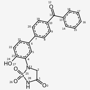 O=C1CN(c2cc(-c3ccc(C(=O)c4ccccc4)cc3)ccc2O)S(=O)(=O)N1